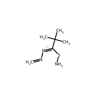 C=N/N=C(\SN)C(C)(C)C